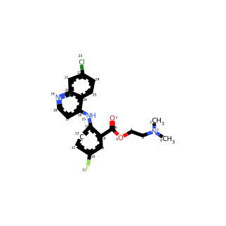 CN(C)CCOC(=O)c1cc(F)ccc1Nc1ccnc2cc(Cl)ccc12